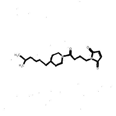 CC(C)CCCCC1CCN(C(=O)CCCN2C(=O)C=CC2=O)CC1